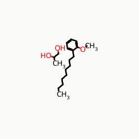 CC(O)CO.CCCCCCCCCc1ccccc1OC